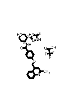 Cc1cc(COc2ccc(C(=O)N[C@@H]3CCNC[C@@H]3c3n[nH]c(=S)[nH]3)cc2)c2ccccc2n1.O=C(O)C(F)(F)F